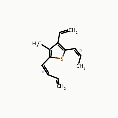 C=C/C=C\c1sc(/C=C\C)c(C=C)c1C